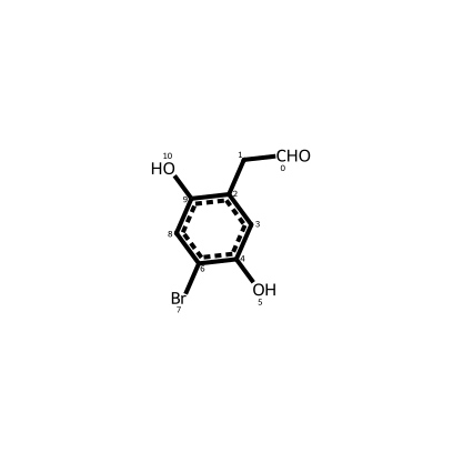 O=CCc1cc(O)c(Br)cc1O